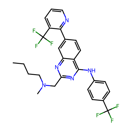 CCCCN(C)Cc1nc(Nc2ccc(C(F)(F)F)cc2)c2ccc(-c3ncccc3C(F)(F)F)cc2n1